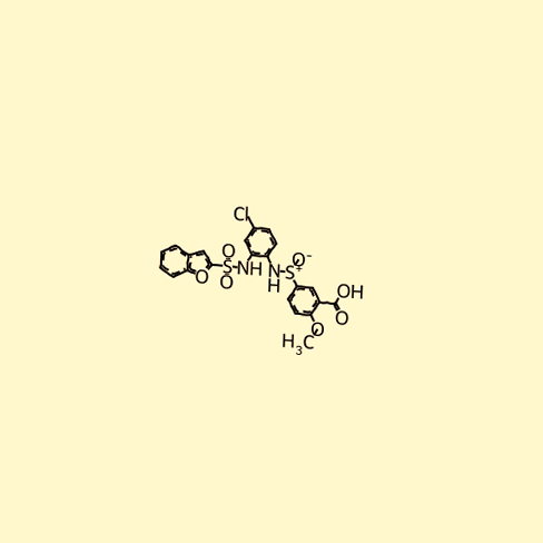 COc1ccc([S+]([O-])Nc2ccc(Cl)cc2NS(=O)(=O)c2cc3ccccc3o2)cc1C(=O)O